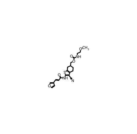 COCCNC(=O)OCC1CCc2c(sc(NC(=O)C=Cc3ccoc3)c2C#N)C1